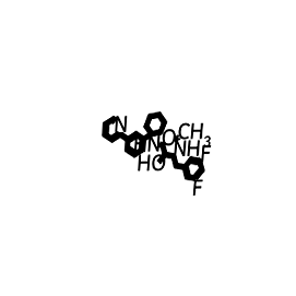 CC(=O)NC(Cc1cc(F)cc(F)c1)C(O)CNC1(c2cccc(-c3ccccn3)c2)CCCCC1